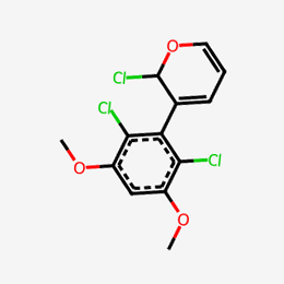 COc1cc(OC)c(Cl)c(C2=CC=COC2Cl)c1Cl